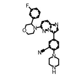 N#Cc1cc(-c2cnc3ccc(N4CCOCC4c4cccc(F)c4)nn23)ccc1N1CCNCC1